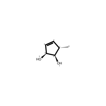 C[C@H]1C=C[C@H](O)[C@@H]1O